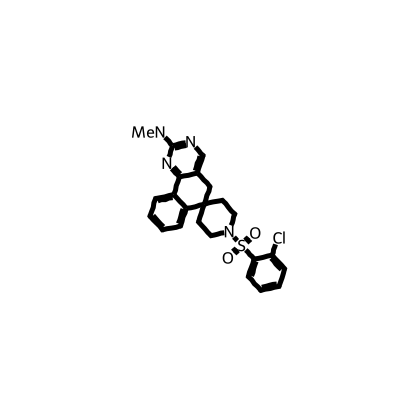 CNc1ncc2c(n1)-c1ccccc1C1(CCN(S(=O)(=O)c3ccccc3Cl)CC1)C2